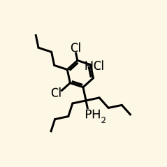 CCCCc1c(Cl)ccc(C(P)(CCCC)CCCC)c1Cl.Cl